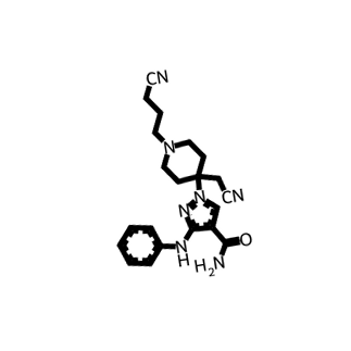 N#CCCCN1CCC(CC#N)(n2cc(C(N)=O)c(Nc3ccccc3)n2)CC1